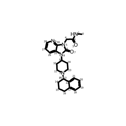 CNC(=O)Cn1c(=O)n(C2CCN([C@@H]3CCCc4ccccc43)CC2)c2cccnc21